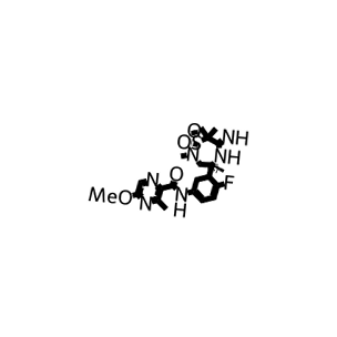 COc1cnc(C(=O)NC2=CC=C(F)C([C@]3(C)CN(C)S(=O)(=O)C(C)(C)C(=N)N3)C2)c(C)n1